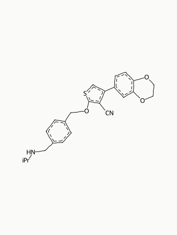 CC(C)NCc1ccc(COc2scc(-c3ccc4c(c3)OCCO4)c2C#N)cc1